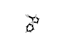 O=c1occs1.c1ccccc1